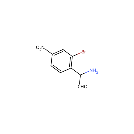 NC(C=O)c1ccc([N+](=O)[O-])cc1Br